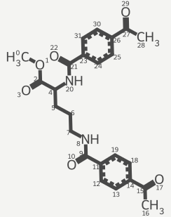 COC(=O)C(CCCNC(=O)c1ccc(C(C)=O)cc1)NC(=O)c1ccc(C(C)=O)cc1